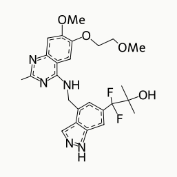 COCCOc1cc2c(NCc3cc(C(F)(F)C(C)(C)O)cc4[nH]ncc34)nc(C)nc2cc1OC